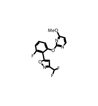 COc1ccnc(Oc2cccc(F)c2-c2cc(C(F)F)no2)n1